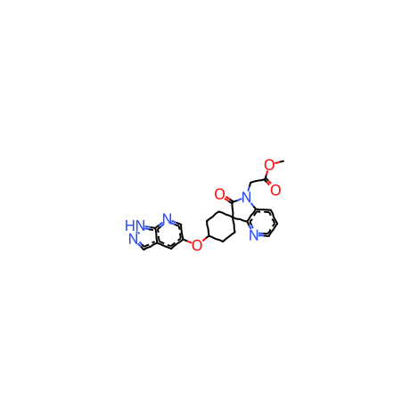 COC(=O)CN1C(=O)C2(CCC(Oc3cnc4[nH]ncc4c3)CC2)c2ncccc21